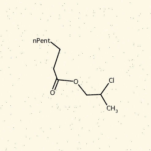 CCCCCCCC(=O)OCC(C)Cl